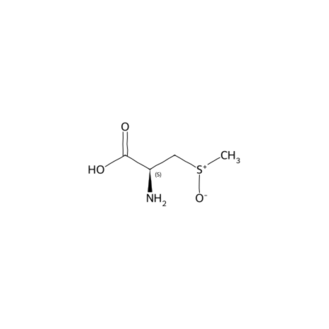 C[S+]([O-])C[C@@H](N)C(=O)O